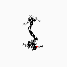 C=C1CCC(n2c(=O)n(C)c3cc(N4CCN(CC5(F)CC6(CCN(CC7(COc8nc(N9CCC[C@@](C)(O)C9)c9cnc(-c%10cc(O)cc%11ccc(F)c(CC)c%10%11)c(F)c9n8)CC7)CC6)C5)CC4)ccc32)C(=O)N1